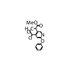 COC(=O)C(C)c1cnc(Oc2ccccc2)cc1C(=O)Cl